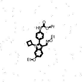 CCON=Cc1c(-c2ccc(NC(=O)OC(C)C)cc2)n(C2CCC2)c2cc(OCC)ccc12